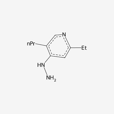 CCCc1cnc(CC)cc1NN